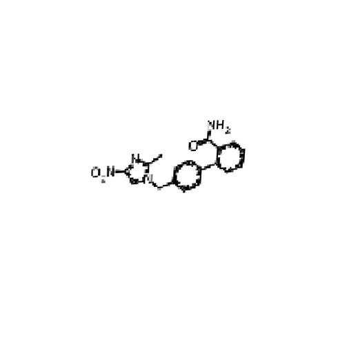 Cc1nc([N+](=O)[O-])cn1Cc1ccc(-c2ccccc2C(N)=O)cc1